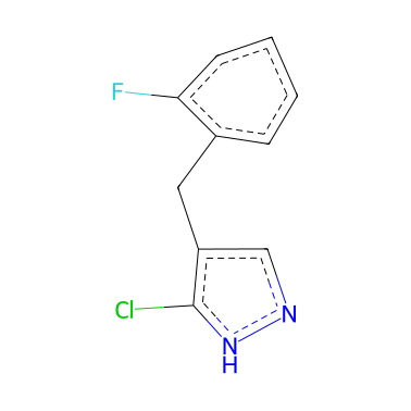 Fc1ccccc1Cc1cn[nH]c1Cl